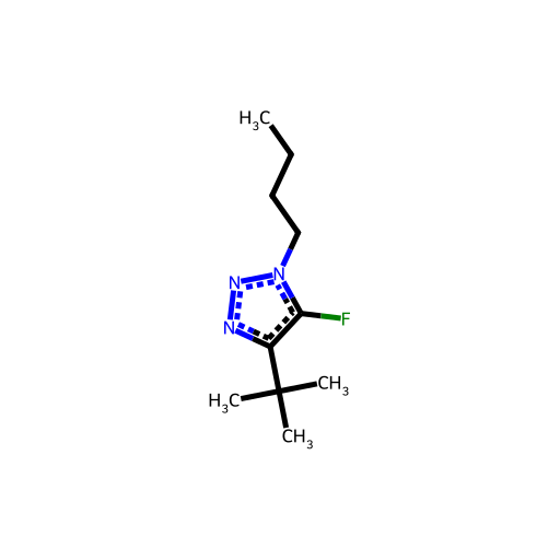 CCCCn1nnc(C(C)(C)C)c1F